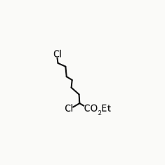 CCOC(=O)C(Cl)CCCCCCCl